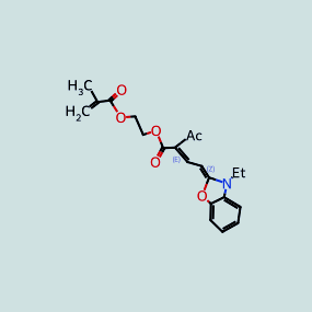 C=C(C)C(=O)OCCOC(=O)/C(=C/C=C1\Oc2ccccc2N1CC)C(C)=O